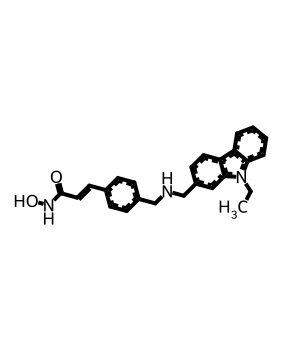 CCn1c2ccccc2c2ccc(CNCc3ccc(/C=C/C(=O)NO)cc3)cc21